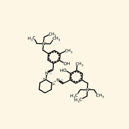 CC[N+](CC)(CC)Cc1cc(C)c(O)c(/C=N/[C@@H]2CCCC[C@H]2/N=C/c2cc(C[N+](CC)(CC)CC)cc(C)c2O)c1